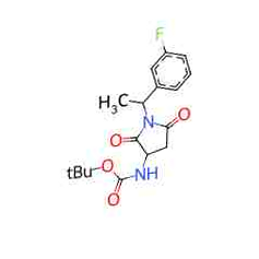 CC(c1cccc(F)c1)N1C(=O)CC(NC(=O)OC(C)(C)C)C1=O